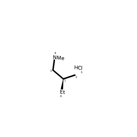 CC[C@H](C)CNC.Cl